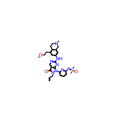 C=CCn1c(=O)c2cnc(Nc3cc(CCOC)c4c(c3)CN(C)CC4)nc2n1-c1cccc(N=S(C)(C)=O)n1